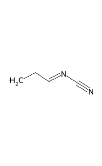 [CH2]CC=NC#N